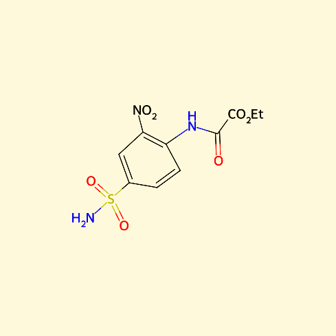 CCOC(=O)C(=O)Nc1ccc(S(N)(=O)=O)cc1[N+](=O)[O-]